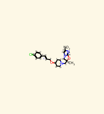 C[C@]1(CN2CCC(OC/C=C/c3ccc(Cl)cc3)CC2)Cn2cc([N+](=O)[O-])nc2O1